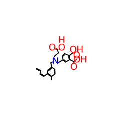 C=C/C=C\c1cc(CN(CCC(=O)O)Cc2ccc(C(=O)O)c(C(=O)O)c2)ccc1C